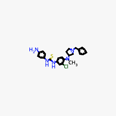 CN(c1ccc(NC(=S)Nc2ccc(N)cc2)cc1Cl)C1CCN(Cc2ccccc2)C1